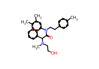 Cc1ccc(CCN(C(=O)C(c2ccccc2)N(C)CCO)c2ccc(C)c(C)c2)cc1